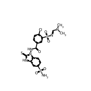 CN(C)C=NS(=O)(=O)c1cc(C(=O)Nn2c(=S)[nH]c3cc(S(N)(=O)=O)ccc32)ccc1Cl